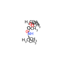 Cc1c(CC(=O)NCC#CC(C)(C)C)cccc1B1OC(C)(C)C(C)(C)O1